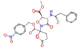 COC(=O)[C@@H]1ON(C2(C(=O)OCc3ccc([N+](=O)[O-])cc3)CCC(=O)O2)C(=O)[C@H]1NC(=O)Cc1ccccc1